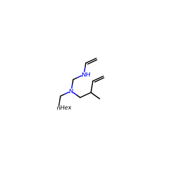 C=CNCN(CCCCCCC)CC(C)C=C